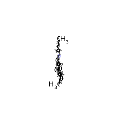 CCCCC[C@H]1CC[C@H](/C=C/COc2ccc(OC(=O)c3ccc(OCCC)cc3)cc2)CC1